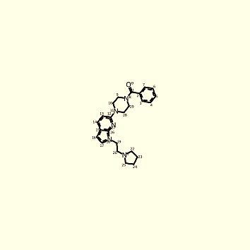 O=C(c1ccccc1)N1CCN(c2ccc3ccn(CCN4CCCC4)c3n2)CC1